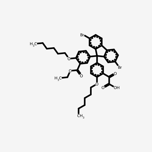 CCCCCCOc1ccc(C2(c3ccc(OCCCCCC)c(C(=O)C(=O)O)c3)c3cc(Br)ccc3-c3ccc(Br)cc32)cc1C(=O)OCC